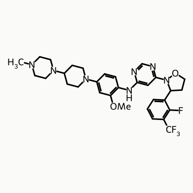 COc1cc(N2CCC(N3CCN(C)CC3)CC2)ccc1Nc1cc(N2OCCC2c2cccc(C(F)(F)F)c2F)ncn1